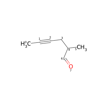 CC#CCC(C)[C]=O